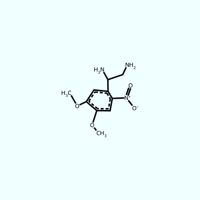 COc1cc(C(N)CN)c([N+](=O)[O-])cc1OC